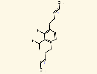 C/C=C/CCc1ccc(CC/C=C/C)c(C(F)F)c1F